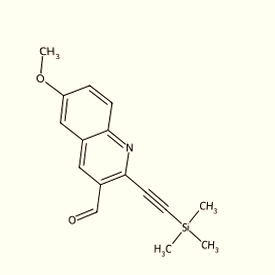 COc1ccc2nc(C#C[Si](C)(C)C)c(C=O)cc2c1